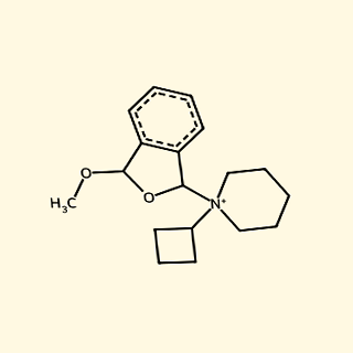 COC1OC([N+]2(C3CCC3)CCCCC2)c2ccccc21